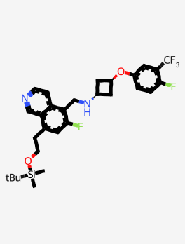 CC(C)(C)[Si](C)(C)OCCc1cc(F)c(CN[C@H]2C[C@H](Oc3ccc(F)c(C(F)(F)F)c3)C2)c2ccncc12